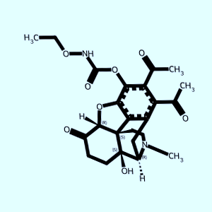 CCONC(=O)Oc1c2c3c(c(C(C)=O)c1C(C)=O)C[C@H]1N(C)CC[C@@]34[C@@H](O2)C(=O)CC[C@@]14O